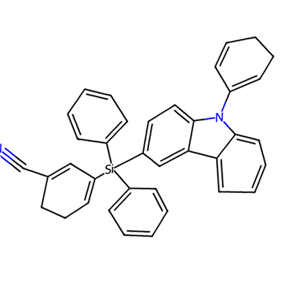 N#CC1=CC([Si](c2ccccc2)(c2ccccc2)c2ccc3c(c2)c2ccccc2n3C2=CCCC=C2)=CCC1